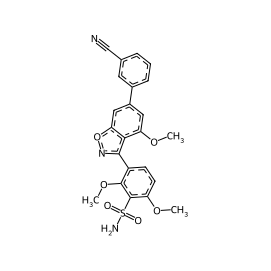 COc1ccc(-c2noc3cc(-c4cccc(C#N)c4)cc(OC)c23)c(OC)c1S(N)(=O)=O